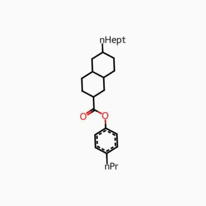 CCCCCCCC1CCC2CC(C(=O)Oc3ccc(CCC)cc3)CCC2C1